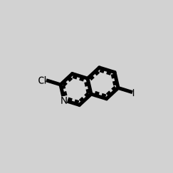 Clc1cc2ccc(I)cc2cn1